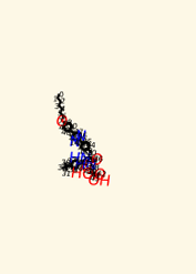 CCCCCCCOc1ccc(-c2cnc(-c3ccc(C[C@H](NC(=O)c4ccc(C(C)(C)C)cc4)C(=O)NCC(O)C(=O)O)cc3)nc2)cc1